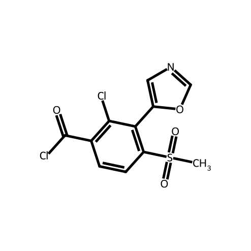 CS(=O)(=O)c1ccc(C(=O)Cl)c(Cl)c1-c1cnco1